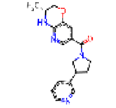 C[C@@H]1COc2cc(C(=O)N3CCC(c4cccnc4)C3)cnc2N1